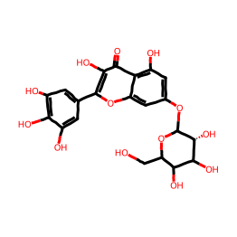 O=c1c(O)c(-c2cc(O)c(O)c(O)c2)oc2cc(OC3OC(CO)C(O)C(O)[C@H]3O)cc(O)c12